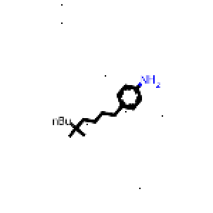 CCCCC(C)(C)CCCCc1ccc(N)cc1